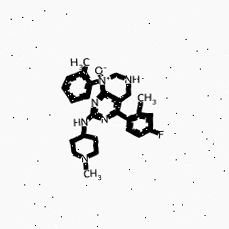 Cc1cc(F)ccc1-c1nc(NC2CCN(C)CC2)nc2c1CNC[N+]2([O-])c1ccccc1C